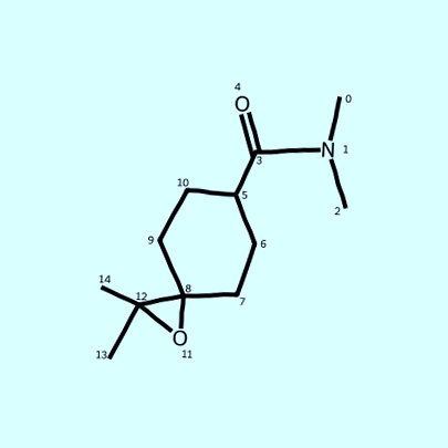 CN(C)C(=O)C1CCC2(CC1)OC2(C)C